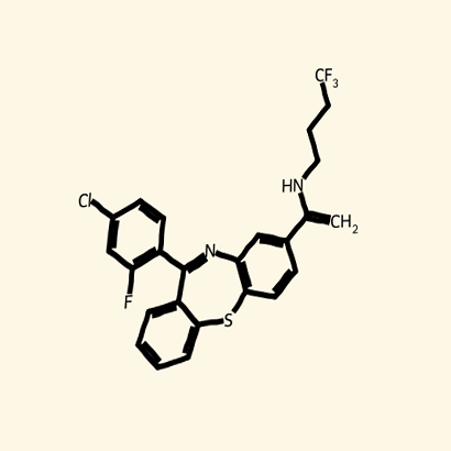 C=C(NCCCC(F)(F)F)c1ccc2c(c1)N=C(c1ccc(Cl)cc1F)c1ccccc1S2